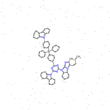 C=C/C=C\c1c(C)nc2n(-c3nc(-c4ccc([Si](c5ccccc5)(c5ccccc5)c5ccc(-n6c7ccccc7c7ccccc76)cc5)cc4)nc(-n4c5ccccc5c5ccccc54)n3)c3ccccc3n12